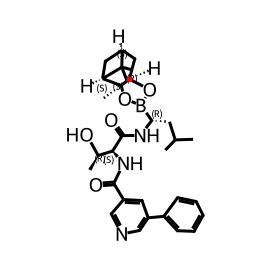 CC(C)C[C@H](NC(=O)[C@@H](NC(=O)c1cncc(-c2ccccc2)c1)[C@@H](C)O)B1O[C@@H]2C[C@@H]3C[C@@H](C3(C)C)[C@]2(C)O1